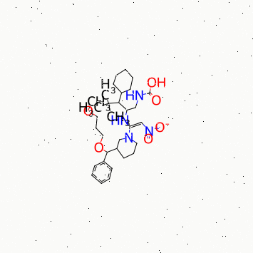 COCCCOC(c1ccccc1)C1CCCN(C(=C[N+](=O)[O-])NC(CNC(=O)O)C(C2CCCCC2)C(C)(C)C)C1